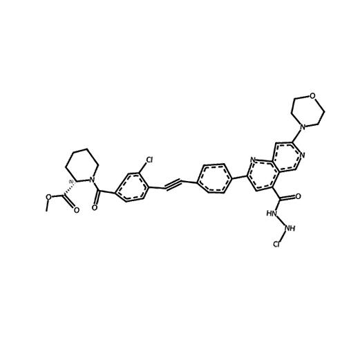 COC(=O)[C@@H]1CCCCN1C(=O)c1ccc(C#Cc2ccc(-c3cc(C(=O)NNCl)c4cnc(N5CCOCC5)cc4n3)cc2)c(Cl)c1